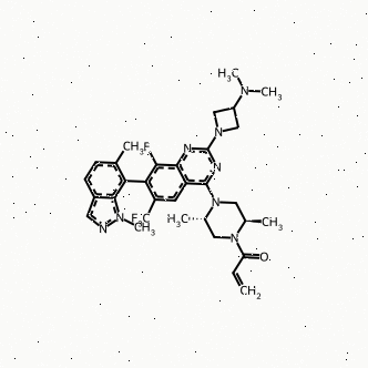 C=CC(=O)N1C[C@H](C)N(c2nc(N3CC(N(C)C)C3)nc3c(F)c(-c4c(C)ccc5cnn(C)c45)c(C(F)(F)F)cc23)C[C@H]1C